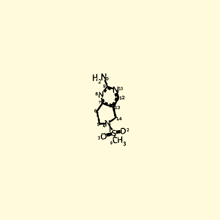 CS(=O)(=O)N1CCc2nc(N)ncc2C1